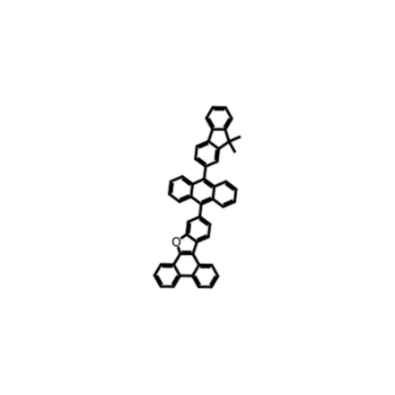 CC1(C)c2ccccc2-c2ccc(-c3c4ccccc4c(-c4ccc5c(c4)oc4c6ccccc6c6ccccc6c54)c4ccccc34)cc21